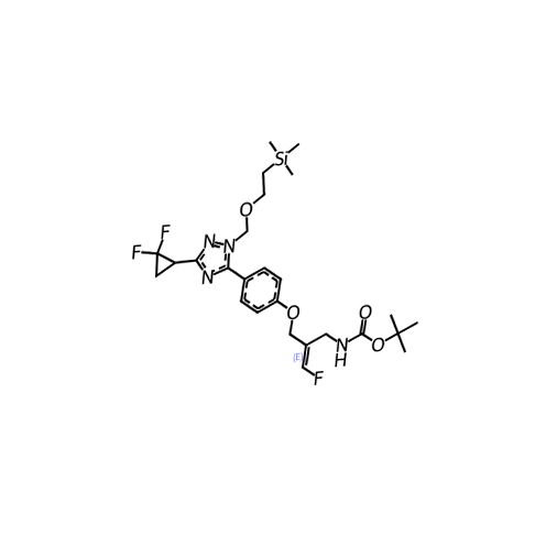 CC(C)(C)OC(=O)NC/C(=C\F)COc1ccc(-c2nc(C3CC3(F)F)nn2COCC[Si](C)(C)C)cc1